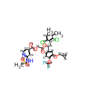 C=C/C(Cl)=C(C[C@H](OC(=O)COC(=O)c1ccnc(NS(C)(=O)=O)c1)c1ccc(OC(F)F)c(OCC2CC2)c1)\C(Cl)=C/C